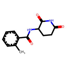 Cc1ccccc1C(=O)NC1CCC(=O)NC1=O